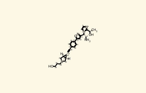 C[C@H](O)c1nccn1[C@H](CN)c1cc(-c2ccc(C#C[C@@H]3[C@H]4CN(CCCO)C[C@@H]34)cc2)on1